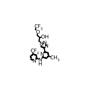 Cc1cc(Nc2cc(C(F)(F)F)ccn2)nc(-c2cn(CC(O)COCC(F)(F)F)nn2)c1